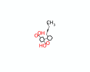 CCCC#CCc1ccccc1-c1cc(C(=O)O)ccc1C(=O)O